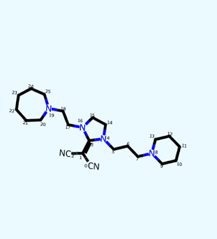 N#CC(C#N)=C1N(CCCN2CCCCC2)CCN1CCN1CCCCCC1